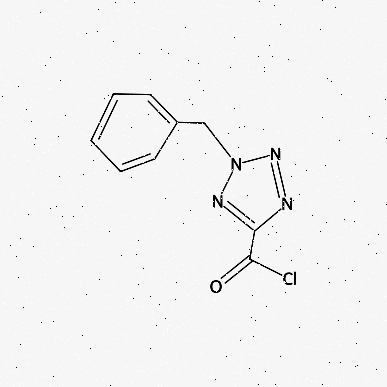 O=C(Cl)c1nnn(Cc2ccccc2)n1